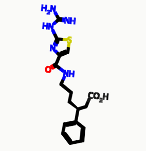 N=C(N)Nc1nc(C(=O)NCCC[C@@H](CC(=O)O)c2ccccc2)cs1